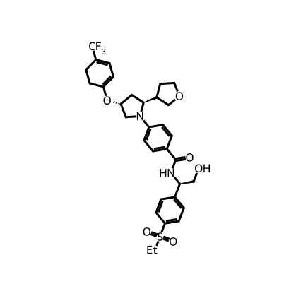 CCS(=O)(=O)c1ccc([C@H](CO)NC(=O)c2ccc(N3C[C@H](OC4=CC=C(C(F)(F)F)CC4)C[C@H]3C3CCOC3)cc2)cc1